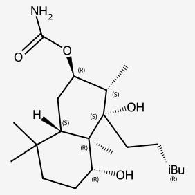 CC[C@@H](C)CC[C@]1(O)[C@@H](C)[C@H](OC(N)=O)C[C@H]2C(C)(C)CC[C@@H](O)[C@@]21C